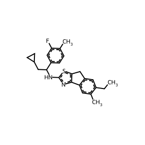 CCc1cc2c(cc1C)-c1nc(NC(CC3CC3)c3ccc(C)c(F)c3)sc1C2